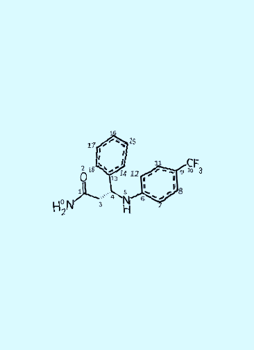 NC(=O)C[C@@H](Nc1ccc(C(F)(F)F)cc1)c1ccccc1